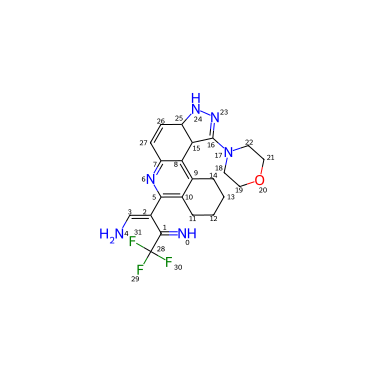 N=C(/C(=C\N)c1nc2c(c3c1CCCC3)C1C(N3CCOCC3)=NNC1C=C2)C(F)(F)F